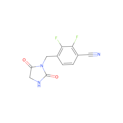 N#Cc1ccc(CN2C(=O)CNC2=O)c(F)c1F